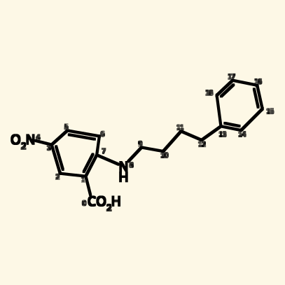 O=C(O)c1cc([N+](=O)[O-])ccc1NCCCCc1ccccc1